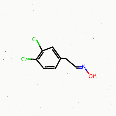 ON=CCc1ccc(Cl)c(Cl)c1